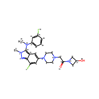 CCn1nc2c(F)cc(N3CCN(CC(=O)N4CC(O)C4)CC3)cc2c1N(C)c1c[c]cc(F)c1